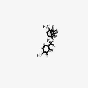 CC12CCC(OC(F)(F)c3ccc(O)c(F)c3F)(CC1)C(F)(F)C2(F)F